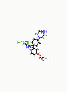 CCOc1cccc(C2(C#N)CCC(N3CCNCC3)CC2)c1.Cl.Cl